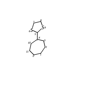 C1CCC[C](C2SCCS2)CC1